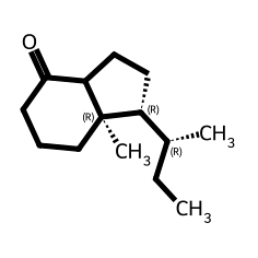 CC[C@@H](C)[C@H]1CCC2C(=O)CCC[C@@]21C